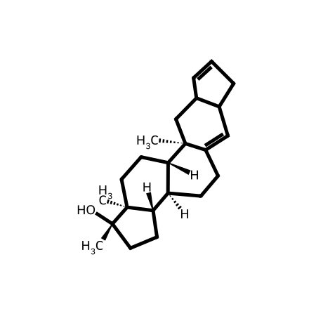 C[C@]12CC3C=CCC3C=C1CC[C@@H]1[C@@H]2CC[C@@]2(C)[C@H]1CC[C@]2(C)O